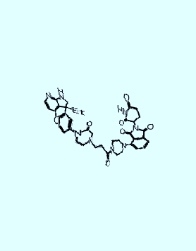 CCC1(c2cccc(N3CCN(CCC(=O)N4CCN(c5cccc6c5C(=O)N(C5CCC(=O)NC5=O)C6=O)CC4)CC3=O)c2)CNc2nccc(Cl)c21